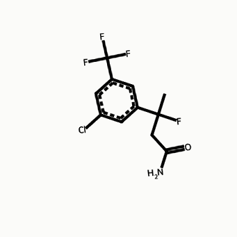 CC(F)(CC(N)=O)c1cc(Cl)cc(C(F)(F)F)c1